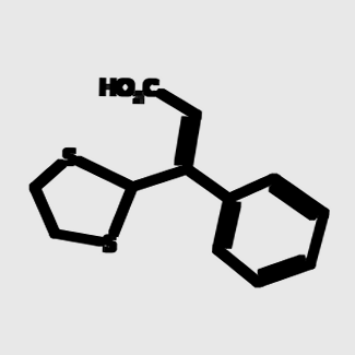 O=C(O)C=C(c1ccccc1)C1SCCS1